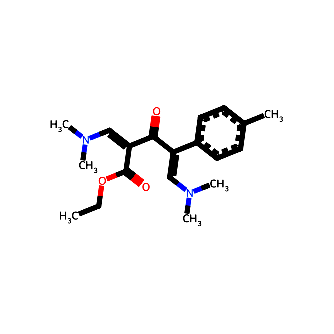 CCOC(=O)/C(=C\N(C)C)C(=O)/C(=C/N(C)C)c1ccc(C)cc1